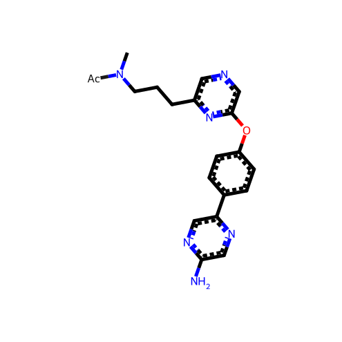 CC(=O)N(C)CCCc1cncc(Oc2ccc(-c3cnc(N)cn3)cc2)n1